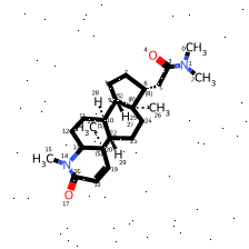 CN(C)C(=O)C[C@H]1CC[C@H]2[C@@H]3CCC4N(C)C(=O)C=C[C@]4(C)[C@H]3CC[C@]12C